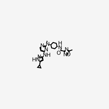 Cc1nc(C(=O)N[C@H]2CC[C@H](N(C)c3nccc(Nc4cc(C5CC5)[nH]n4)n3)CC2)no1